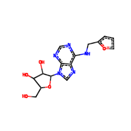 OCC1OC(n2cnc3c(NCc4ccco4)ncnc32)C(O)C1O